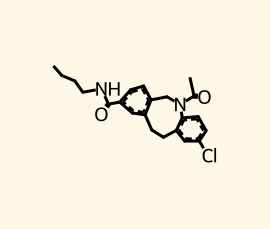 CCCCNC(=O)c1ccc2c(c1)CCc1cc(Cl)ccc1N(C(C)=O)C2